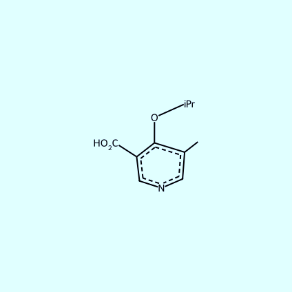 Cc1cncc(C(=O)O)c1OC(C)C